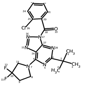 CC(C)(C)c1nc(N2CCC(F)(F)C2)c2nnn(C(=O)c3ccccc3Cl)c2n1